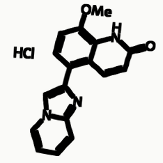 COc1ccc(-c2cn3ccccc3n2)c2ccc(=O)[nH]c12.Cl